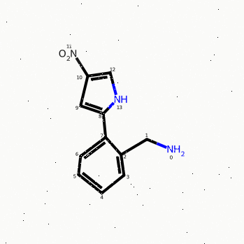 NCc1ccccc1-c1cc([N+](=O)[O-])c[nH]1